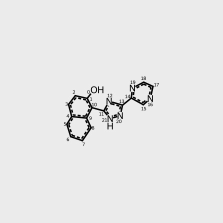 Oc1ccc2ccccc2c1-c1nc(-c2cnccn2)n[nH]1